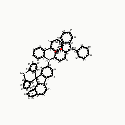 c1ccc(-c2ccccc2N(c2ccc3c(c2)C2(c4ccccc4Sc4ccccc42)c2c-3ccc3ccccc23)c2ccc3c(c2)c2ccccc2n3-c2ccccc2)cc1